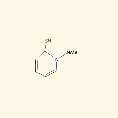 CNN1C=CC=CC1S